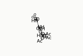 CC(=O)CCOCC(COCCC(C)=O)(COCCC(C)=O)NC(=O)CCOCCNC(=O)NCCCCCCNC(=O)OCC1c2ccccc2-c2ccccc21